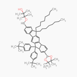 CCCCCCCCC1(CCCCCCCC)c2cc(BOC(C)(C)C(C)(C)O)ccc2-c2cc3c(cc21)C1C=CC(B2OC(C)(C)C(C)(C)O2)=CC1C3(c1ccc(C(C)(C)C)cc1)c1ccc(C(C)(C)C)cc1